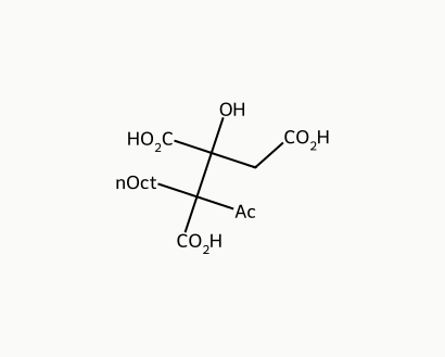 CCCCCCCCC(C(C)=O)(C(=O)O)C(O)(CC(=O)O)C(=O)O